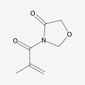 C=C(C)C(=O)N1COCC1=O